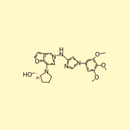 COc1cc(-n2cnc(N[n+]3cc(N4CCC[C@@H]4CO)c4occc4c3)c2)cc(OC)c1OC